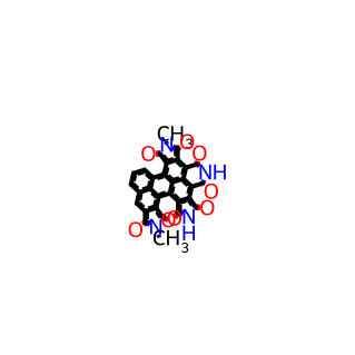 Cn1c(=O)c2c3c4c(c5c(=O)[nH]c(=O)c5c5c4c(c4cccc6cc7c(=O)n(C)c(=O)c7c5c64)c2c1=O)C(=O)NC3=O